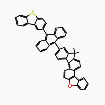 CC1(C)c2cc(-c3c4ccccc4c(-c4ccc5sc6ccccc6c5c4)c4ccccc34)ccc2-c2c1ccc1c2ccc2oc3ccccc3c21